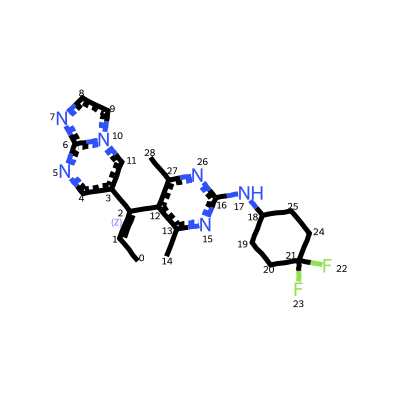 C/C=C(/c1cnc2nccn2c1)c1c(C)nc(NC2CCC(F)(F)CC2)nc1C